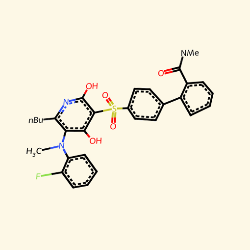 CCCCc1nc(O)c(S(=O)(=O)c2ccc(-c3ccccc3C(=O)NC)cc2)c(O)c1N(C)c1ccccc1F